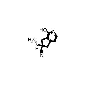 CNC1(C#N)Cc2ccnc(O)c2C1